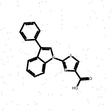 O=C(O)c1csc(-n2cc(-c3ccccc3)c3ccccc32)n1